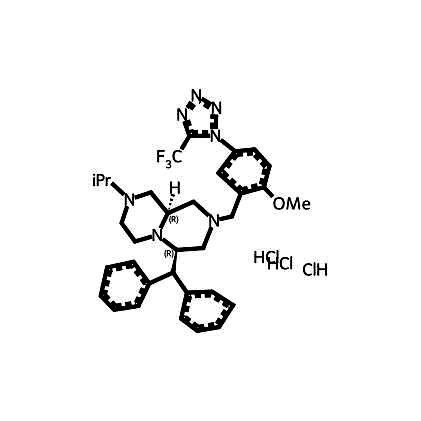 COc1ccc(-n2nnnc2C(F)(F)F)cc1CN1C[C@@H]2CN(C(C)C)CCN2[C@H](C(c2ccccc2)c2ccccc2)C1.Cl.Cl.Cl